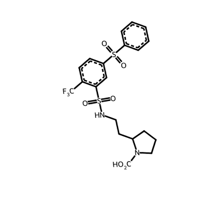 O=C(O)N1CCCC1CCNS(=O)(=O)c1cc(S(=O)(=O)c2ccccc2)ccc1C(F)(F)F